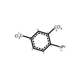 CC[CH]c1ccc(C(Cl)(Cl)Cl)cc1C(Cl)(Cl)Cl